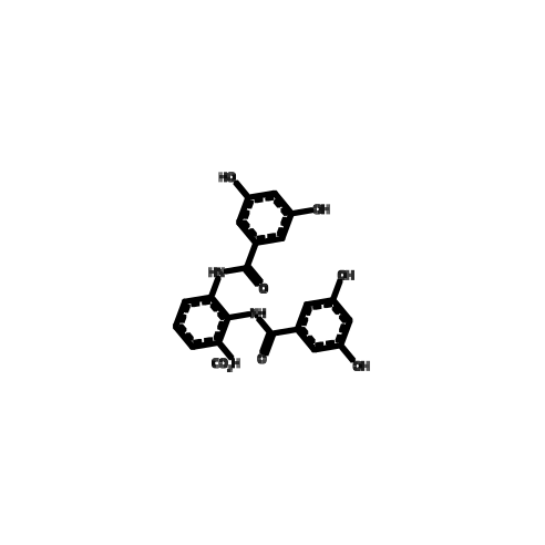 O=C(Nc1cccc(C(=O)O)c1NC(=O)c1cc(O)cc(O)c1)c1cc(O)cc(O)c1